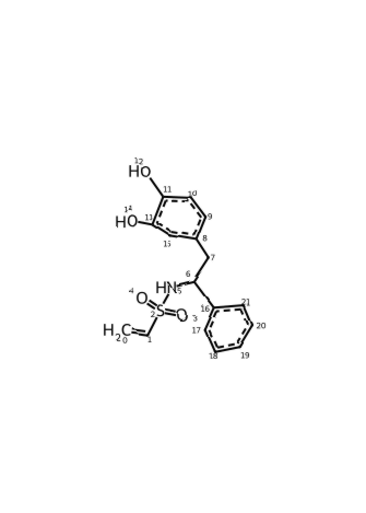 C=CS(=O)(=O)NC(Cc1ccc(O)c(O)c1)c1ccccc1